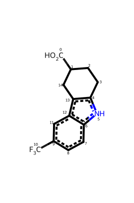 O=C(O)C1CCc2[nH]c3ccc(C(F)(F)F)cc3c2C1